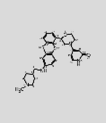 CN1CCC(CNc2ccc3c(c2)Sc2cccc(C4CN(c5cc[nH]c(=O)c5)CCO4)c2S3)CC1